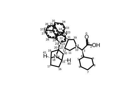 O=C(O)[C@@H](C1CCCCC1)N1C[C@H](CN2[C@@H]3CC[C@H]2C[C@@H](n2cnc4ccccc42)C3)[C@@H](c2cccc(F)c2)C1